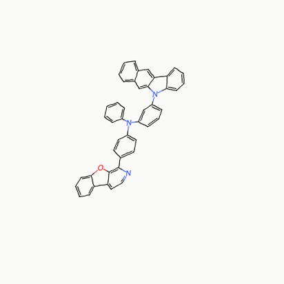 c1ccc(N(c2ccc(-c3nccc4c3oc3ccccc34)cc2)c2cccc(-n3c4ccccc4c4cc5ccccc5cc43)c2)cc1